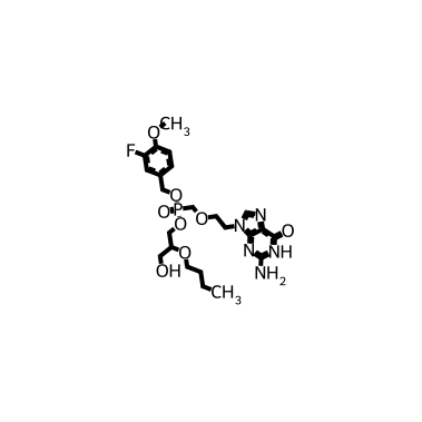 CCCCOC(CO)COP(=O)(COCCn1cnc2c(=O)[nH]c(N)nc21)OCc1ccc(OC)c(F)c1